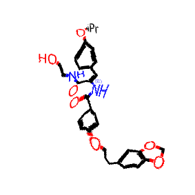 CC(C)Oc1ccc(/C=C(/NC(=O)c2ccc(OCCc3ccc4c(c3)OCO4)cc2)C(=O)NCCO)cc1